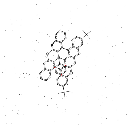 CC(C)(C)c1ccc2c(c1)oc1cc3oc4cc(C(C)(C)C)ccc4n4c3c3c1n2-c1c2c(cc5ccccc15)Oc1cc5ccccc5c-4c1[Si]23c1ccccc1